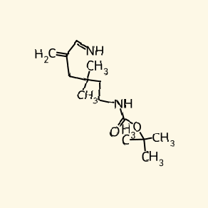 C=C(C=N)CC(C)(C)CCNC(=O)OC(C)(C)C